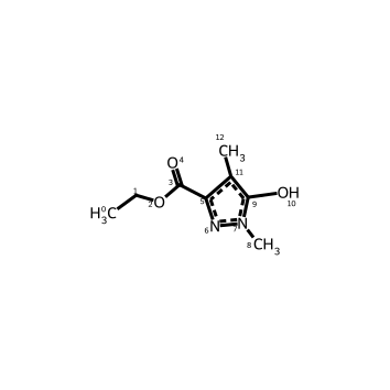 CCOC(=O)c1nn(C)c(O)c1C